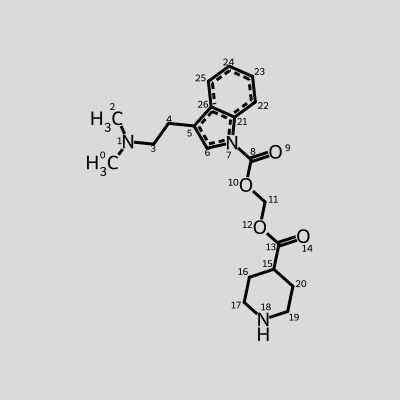 CN(C)CCc1cn(C(=O)OCOC(=O)C2CCNCC2)c2ccccc12